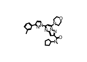 Cc1cccc(-c2ccn(-c3cc(N4CCOCC4)n4nc(C(=O)N(C)C5CCCC5)cc4n3)n2)c1